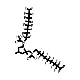 CC(CCN(CC(F)(F)C(F)(F)C(F)(F)C(F)(F)C(F)(F)C(F)(F)C(F)(F)C(F)F)C(=O)O)CC(C)(C)CN(CC(F)(F)C(F)(F)C(F)(F)C(F)(F)C(F)(F)C(F)(F)C(F)(F)C(F)F)C(=O)O